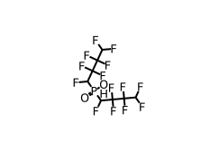 O=P(O)(C(F)C(F)(F)C(F)(F)C(F)F)C(F)C(F)(F)C(F)(F)C(F)F